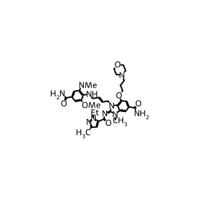 CCn1nc(C)cc1C(=O)/N=c1\n(C)c2cc(C(N)=O)cc(OCCCN3CCOCC3)c2n1C/C=C/CNc1c(NC)cc(C(N)=O)cc1OC